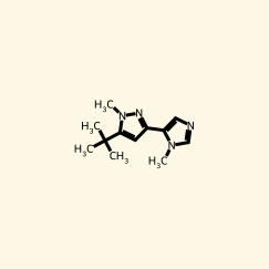 Cn1cncc1-c1cc(C(C)(C)C)n(C)n1